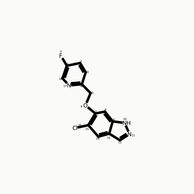 Fc1ccc(COc2cc3[nH]ncc3cc2Cl)nc1